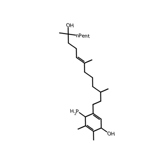 CCCCCC(C)(O)CC/C=C(\C)CCCC(C)CCC1=CC(O)C(C)=C(C)C1P